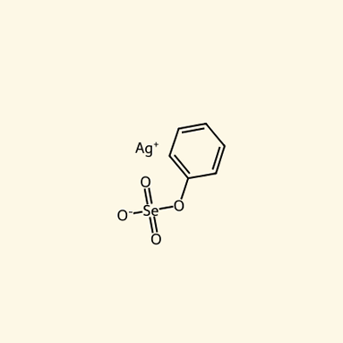 O=[Se](=O)([O-])Oc1ccccc1.[Ag+]